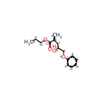 C=C(CC(O)COc1ccccc1)C(=O)OCCC